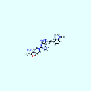 C[C@@H]1OCC2(CCN(c3nc4[nH]nc(C#Cc5cccc(N(C)C)c5F)c4c4nccn34)CC2)[C@@H]1N